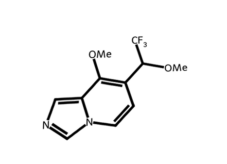 COc1c(C(OC)C(F)(F)F)ccn2cncc12